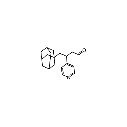 O=CCC(CC12CC3CC(CC(C3)C1)C2)c1ccncc1